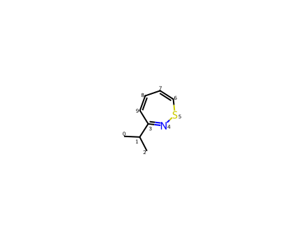 CC(C)C1=NSC=CC=C1